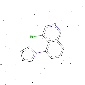 Brc1cncc2cccc(-n3cccc3)c12